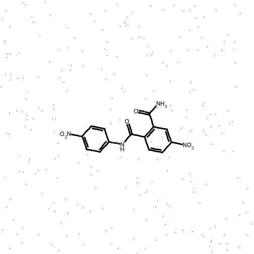 NC(=O)c1cc([N+](=O)[O-])ccc1C(=O)Nc1ccc([N+](=O)[O-])cc1